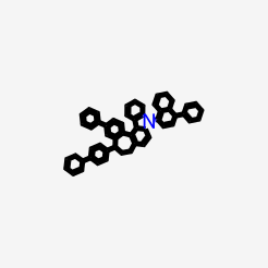 C1=CCC(c2ccc(C3CCC4=C(c5ccc(-c6ccccc6)cc53)C3C5=C(CCC=C5)N(C5=C6C=CCCC6C(C6=CCCC=C6)C=C5)C3C=C4)cc2)C=C1